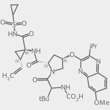 C=C[C@@H]1C[C@]1(NC(=O)[C@@H]1C[C@@H](Oc2nc3cc(OC)ccc3nc2C(C)C)CN1C(=O)C(NC(=O)O)C(C)(C)C)C(=O)NS(=O)(=O)C1CC1